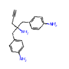 C#CCC(N)(Cc1ccc(N)cc1)Cc1ccc(N)cc1